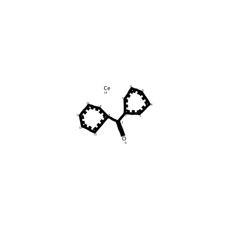 O=C(c1ccccc1)c1ccccc1.[Ce]